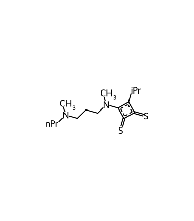 CCCN(C)CCCN(C)c1c(C(C)C)c(=S)c1=S